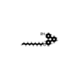 CCCCCCCCCCCCOc1ccc(-c2ccccc2-c2ccccc2)cc1.P